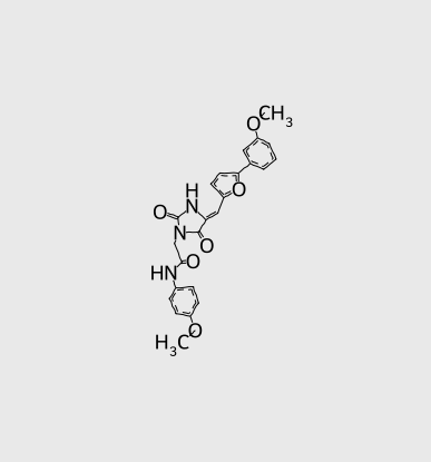 COc1ccc(NC(=O)CN2C(=O)N/C(=C\c3ccc(-c4cccc(OC)c4)o3)C2=O)cc1